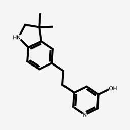 CC1(C)CNc2ccc(CCc3cncc(O)c3)cc21